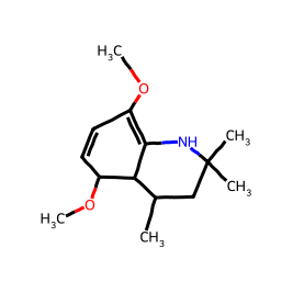 COC1=C2NC(C)(C)CC(C)C2C(OC)C=C1